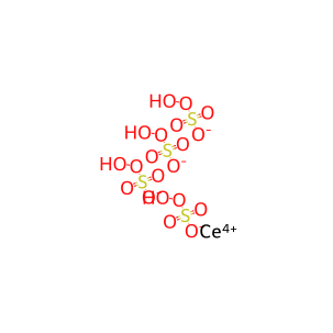 O=S(=O)([O-])OO.O=S(=O)([O-])OO.O=S(=O)([O-])OO.O=S(=O)([O-])OO.[Ce+4]